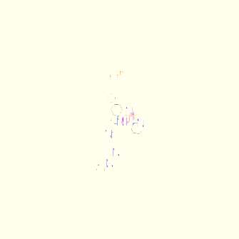 CC(=O)N1CCN(CC2CN=C(c3cc4cc(OCCCOS(C)=O)cc(N(C)S(=O)(=O)c5ccccn5)c4[nH]3)S2)CC1